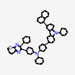 c1ccc(-c2nc3ccccc3nc2-c2ccc(N(c3ccccc3)c3ccc(-c4ccc5c(c4)c4cc(-c6cccc7ccccc67)ccc4n5-c4ccccc4)cc3)cc2)cc1